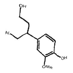 COc1cc(C(CCO)CC(C)=O)ccc1O